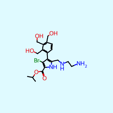 CC(C)OC(=O)c1[nH]c(CNCCN)c(-c2ccc(CO)c(CO)c2CO)c1Br